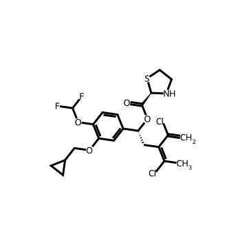 C=C(Cl)/C(C[C@@H](OC(=O)[C@@H]1NCCS1)c1ccc(OC(F)F)c(OCC2CC2)c1)=C(\C)Cl